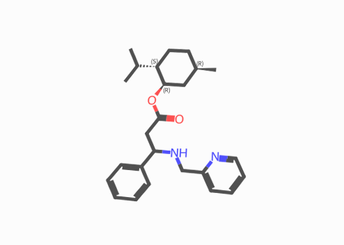 CC(C)[C@@H]1CC[C@@H](C)C[C@H]1OC(=O)CC(NCc1ccccn1)c1ccccc1